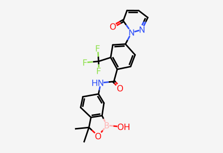 CC1(C)OB(O)c2cc(NC(=O)c3ccc(-n4ncccc4=O)cc3C(F)(F)F)ccc21